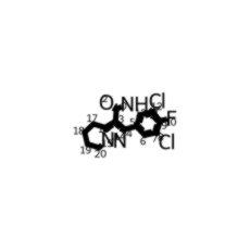 NC(=O)c1c(-c2cc(Cl)c(F)c(Cl)c2)nn2c1CCCC2